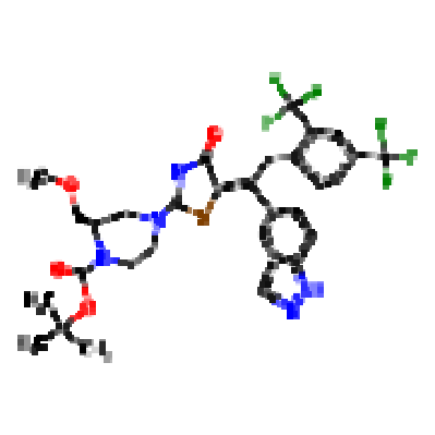 COC[C@H]1CN(C2=NC(=O)C(=C(Cc3ccc(C(F)(F)F)cc3C(F)(F)F)c3ccc4[nH]ncc4c3)S2)CCN1C(=O)OC(C)(C)C